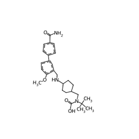 COc1ccc(-c2ccc(C(N)=O)cc2)cc1CNC1CCC(CN(C(=O)O)C(C)(C)C)CC1